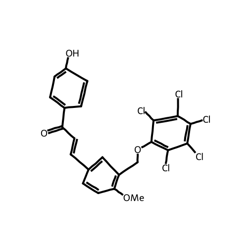 COc1ccc(/C=C/C(=O)c2ccc(O)cc2)cc1COc1c(Cl)c(Cl)c(Cl)c(Cl)c1Cl